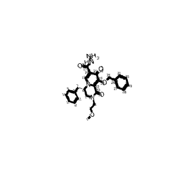 COCCN1C[C@H](Cc2ccccc2)n2cc(C(=O)NN)c(=O)c(OCc3ccccc3)c2C1=O